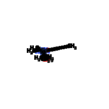 CCCCCCCCCCCCCCCCCCOC=NC1=NC(C2CC(C)(C)N(O)C(C)(C)C2)=NC(NCC(CC)CCCC)N1N